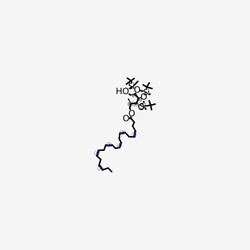 CC/C=C\C/C=C\C/C=C\C/C=C\C/C=C\C/C=C\CCC(=O)OC[C@@H](C)[C@@H](O[Si](C)(C)C(C)(C)C)[C@H](O[Si](C)(C)C(C)(C)C)[C@@H](CO)O[Si](C)(C)C(C)(C)C